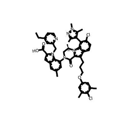 CCc1ccnc(Cn2c(C(=O)O)cc3cc(C)cc(N4C[C@@H](C)n5c(c(CCCOc6cc(C)c(Cl)c(C)c6)c6ccc(Cl)c(-c7c(C)nn(C)c7C)c65)C4=O)c32)c1